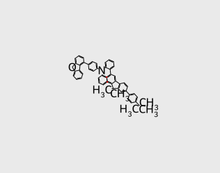 CC(C)(C)c1ccc(-c2ccc3c(c2)C(C)(C)c2ccc(-c4ccccc4N(c4ccccc4)c4ccc(-c5cccc6oc7ccccc7c56)cc4)cc2-3)cc1